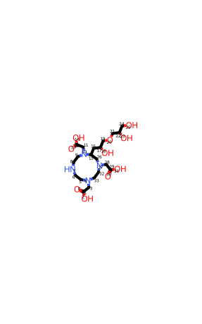 O=C(O)CN1CCNCCN(CC(=O)O)C(CC(O)COCC(O)CO)CN(CC(=O)O)CC1